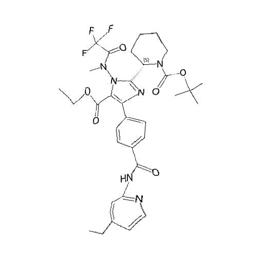 CCOC(=O)c1c(-c2ccc(C(=O)Nc3cc(CC)ccn3)cc2)nc([C@@H]2CCCCN2C(=O)OC(C)(C)C)n1N(C)C(=O)C(F)(F)F